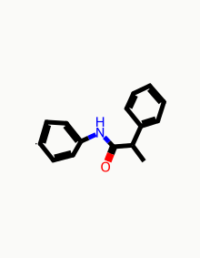 CC(C(=O)Nc1cc[c]cc1)c1ccccc1